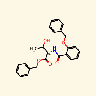 CC(O)[C@H](NC(=O)c1ccccc1OCc1ccccc1)C(=O)OCc1ccccc1